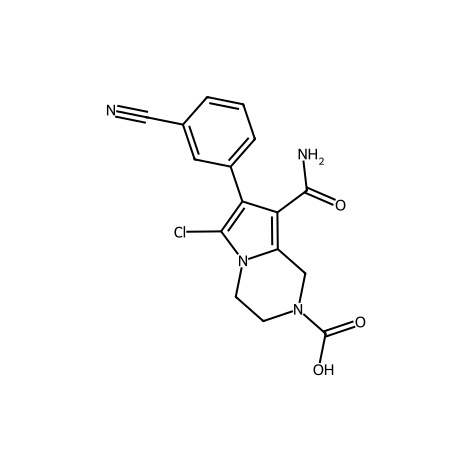 N#Cc1cccc(-c2c(C(N)=O)c3n(c2Cl)CCN(C(=O)O)C3)c1